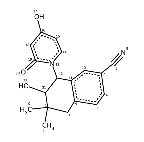 CC1(C)Cc2ccc(C#N)cc2C(n2ccc(O)cc2=O)C1O